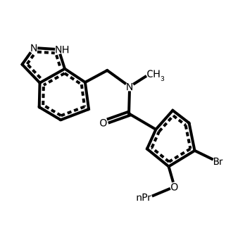 CCCOc1cc(C(=O)N(C)Cc2cccc3cn[nH]c23)ccc1Br